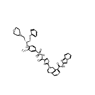 O=C(NS(=O)(=O)c1ccc(N[C@H](CCN2CCOCC2)CSc2ccccc2)c(C(F)(F)F)c1)c1csc(N2CCc3cccc(C(=O)Nc4cn5ccccc5n4)c3C2)n1